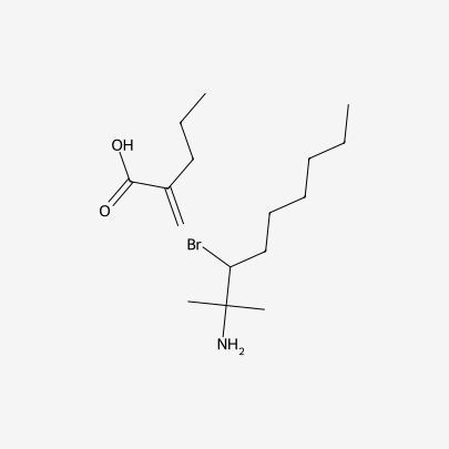 C=C(CCC)C(=O)O.CCCCCCC(Br)C(C)(C)N